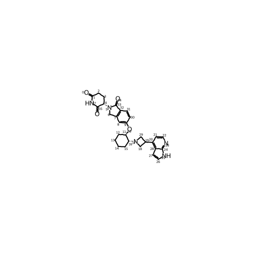 O=C1CC[C@H](N2Cc3cc(O[C@@H]4CCCC[C@H]4N4CC(c5ccnc6[nH]ccc56)C4)ccc3C2=O)C(=O)N1